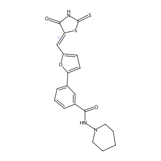 O=C1NC(=S)S/C1=C\c1ccc(-c2cccc(C(=O)NN3CCCCC3)c2)o1